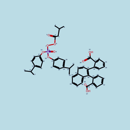 CC(C)CC(=O)OOP(=O)(Oc1ccc(C(C)C)cc1)Oc1ccc(C(C)C)cc1.O=C(O)c1ccccc1-c1ccc2ccccc2c1-c1ccccc1C(=O)O